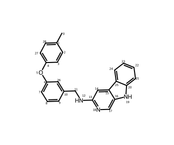 Cc1ccc(Oc2cccc(CNc3cc4c(cn3)[nH]c3ccccc34)c2)cc1